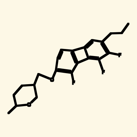 CCCc1cc2c(c(F)c1F)-c1c-2ccc(OCC2CCC(C)OC2)c1F